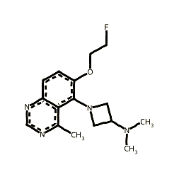 Cc1ncnc2ccc(OCCF)c(N3CC(N(C)C)C3)c12